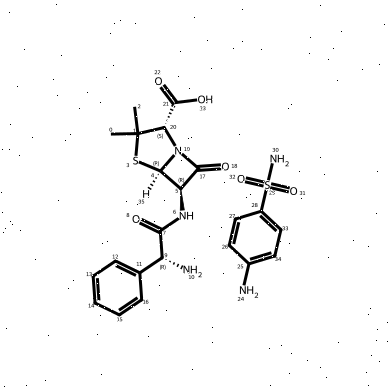 CC1(C)S[C@@H]2[C@H](NC(=O)[C@H](N)c3ccccc3)C(=O)N2[C@H]1C(=O)O.Nc1ccc(S(N)(=O)=O)cc1